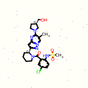 Cc1cn2nc([C@@H]3CCCCN3C(=O)c3cc(Cl)ccc3NS(C)(=O)=O)cc2nc1N1CC[C@@H](CO)C1